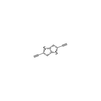 C#Cc1cc2sc(C#C)cc2s1